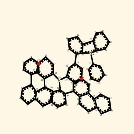 c1ccc(-c2cccc3cccc(-c4ccccc4N(c4cccc(-c5cccc6c7ccccc7n(-c7ccccc7)c56)c4)c4ccccc4-c4cccc5c4ccc4ccccc45)c23)cc1